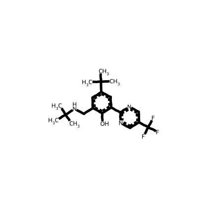 CC(C)(C)NCc1cc(C(C)(C)C)cc(-c2ncc(C(F)(F)F)cn2)c1O